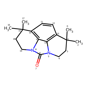 CC1(C)CCn2c(=O)n3c4c(ccc1c42)C(C)(C)CC3